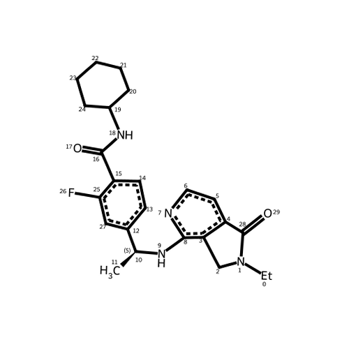 CCN1Cc2c(ccnc2N[C@@H](C)c2ccc(C(=O)NC3CCCCC3)c(F)c2)C1=O